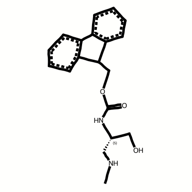 CNC[C@@H](CO)NC(=O)OCC1c2ccccc2-c2ccccc21